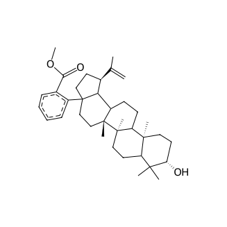 C=C(C)[C@@H]1CCC2(c3ccccc3C(=O)OC)CC[C@]3(C)C(CCC4[C@@]5(C)CC[C@H](O)C(C)(C)C5CC[C@]43C)C12